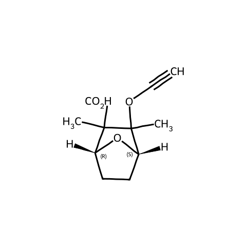 C#COC1(C)[C@@H]2CC[C@@H](O2)C1(C)C(=O)O